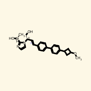 COC1CC(c2ccc(-c3ccc(/C=C/[C@@H](CO)n4ccnc4[Si@H](C)O)cc3)cc2)C1